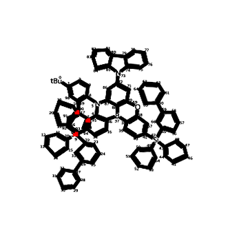 CC(C)(C)c1ccc(N2c3cc([Si](c4ccccc4)(c4ccccc4)c4cccc(-c5ccccc5)c4)ccc3B3c4ccc([Si](c5ccccc5)(c5ccccc5)c5cccc(-c6ccccc6)c5)cc4Oc4cc(-n5c6ccccc6c6ccccc65)cc2c43)c(-c2ccccc2)c1